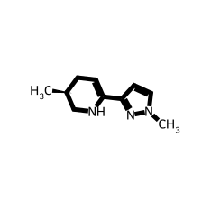 C[C@H]1CC=C(c2ccn(C)n2)NC1